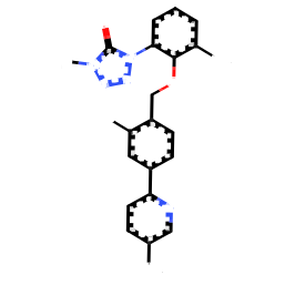 Cc1ccc(-c2ccc(COc3c(C)cccc3-n3nnn(C)c3=O)c(C)c2)nc1